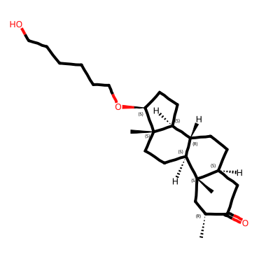 C[C@@H]1C[C@@]2(C)[C@@H](CC[C@@H]3[C@@H]2CC[C@]2(C)[C@@H](OCCCCCCO)CC[C@@H]32)CC1=O